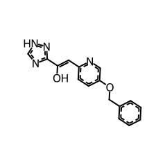 O/C(=C\c1ccc(OCc2ccccc2)cn1)c1nc[nH]n1